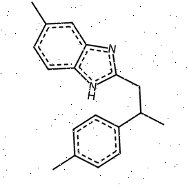 Cc1ccc(C(C)Cc2nc3cc(C)ccc3[nH]2)cc1